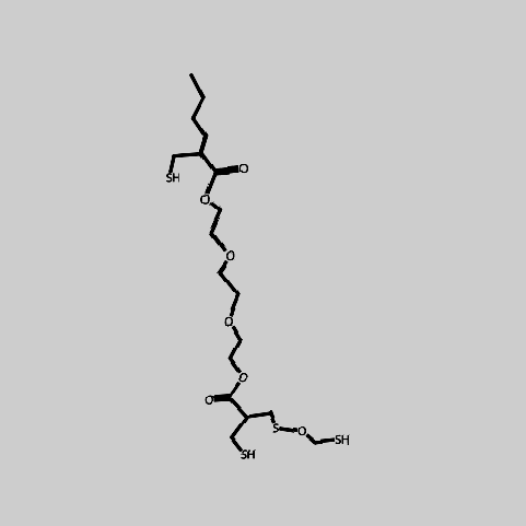 CCCCC(CS)C(=O)OCCOCCOCCOC(=O)C(CS)CSOCS